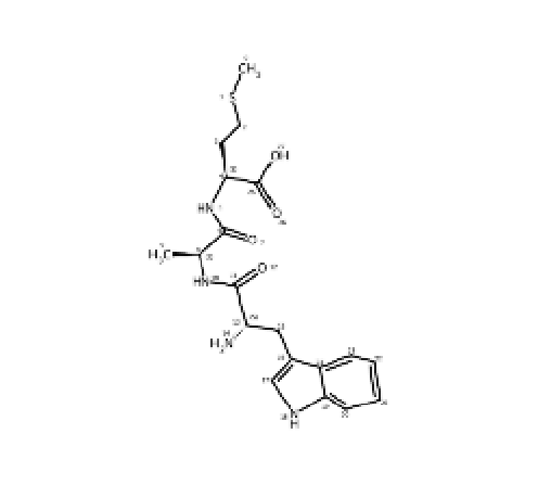 CSCC[C@H](NC(=O)[C@H](C)NC(=O)[C@@H](N)Cc1c[nH]c2ccccc12)C(=O)O